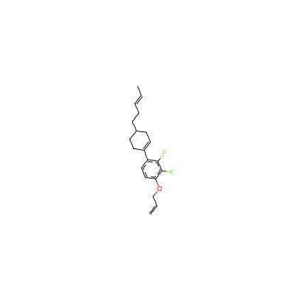 C=CCOc1ccc(C2=CCC(CC/C=C/C)CC2)c(F)c1F